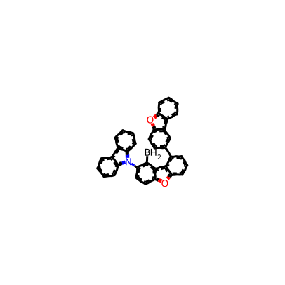 Bc1c(-n2c3ccccc3c3ccccc32)ccc2oc3cccc(-c4ccc5oc6ccccc6c5c4)c3c12